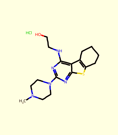 CN1CCN(c2nc(NCCO)c3c4c(sc3n2)CCCC4)CC1.Cl